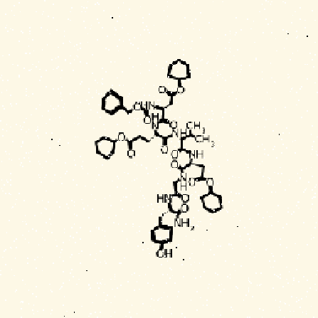 CC(C)[C@H](NC(=O)[C@H](CCC(=O)OC1CCCCC1)NC(=O)[C@H](CC(=O)OC1CCCCC1)NC(=O)OCc1ccccc1)C(=O)N[C@@H](CC(=O)OC1CCCCC1)C(=O)NCC(=O)N[C@@H](Cc1ccc(O)cc1)C(N)=O